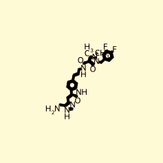 Cc1c(C(=O)NCC=Cc2ccc3c(c2)NC(=O)C3=Cc2nc[nH]c2CN)c(=O)n(Cc2ccc(F)c(F)c2)n1C